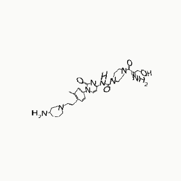 Cc1cc(-n2ccc(NC(=O)N3CCN(C(=O)[C@@H](N)CO)CC3)nc2=O)ccc1CCN1CCCC(N)CC1